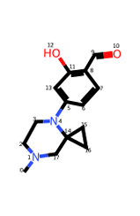 CN1CCN(c2ccc(C=O)c(O)c2)C2(CC2)C1